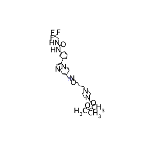 CC(C)(C)OC(=O)N1CCN(CCCO/N=C/c2ccn3c(-c4cccc(NC(=O)NCC(F)(F)F)c4)cnc3c2)CC1